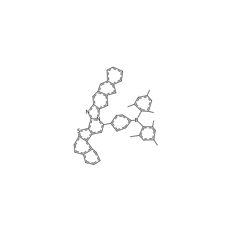 Cc1cc(C)c(B(c2ccc(-c3cc4c(sc5ccc6ccccc6c54)c4nc5cc6cc7ccccc7cc6cc5n34)cc2)c2c(C)cc(C)cc2C)c(C)c1